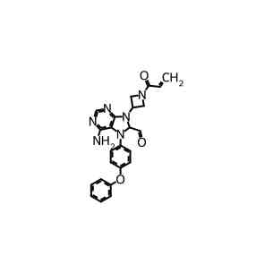 C=CC(=O)N1CC(N2c3ncnc(N)c3N(c3ccc(Oc4ccccc4)cc3)C2C=O)C1